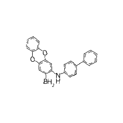 Bc1cc2c(cc1Nc1ccc(-c3ccccc3)cc1)Oc1ccccc1O2